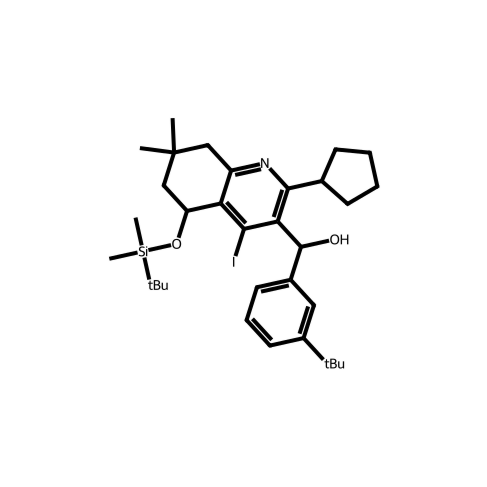 CC1(C)Cc2nc(C3CCCC3)c(C(O)c3cccc(C(C)(C)C)c3)c(I)c2C(O[Si](C)(C)C(C)(C)C)C1